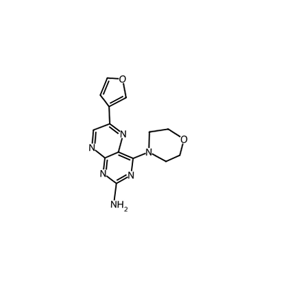 Nc1nc(N2CCOCC2)c2nc(-c3ccoc3)cnc2n1